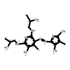 Cc1c(C#N)sc(/N=N/c2c(NCC(C)O)nc(NCC(C)O)c(C#N)c2C)c1C#N